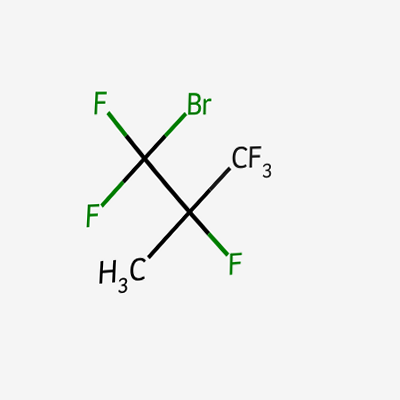 CC(F)(C(F)(F)F)C(F)(F)Br